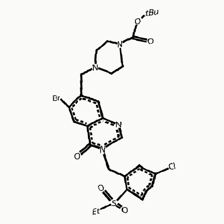 CCS(=O)(=O)c1ccc(Cl)cc1Cn1cnc2cc(CN3CCN(C(=O)OC(C)(C)C)CC3)c(Br)cc2c1=O